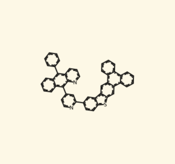 c1ccc(-c2c3ccccc3c(-c3ccnc(-c4ccc5sc6cc7c8ccccc8c8ccccc8c7cc6c5c4)c3)c3ncccc23)cc1